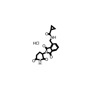 Cl.O=C1CCC(N2C(=O)c3cccc(CNC(=O)C4CC4)c3C2=O)C(=O)N1